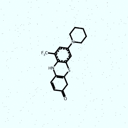 O=C1C=CC2=C(C1)Sc1cc(N3CCCCC3)cc(C(F)(F)F)c1N2